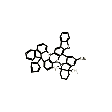 CC(C)(C)c1cc2c3c(c1)C1(C)CCCCC1(C)N3B1c3cccc4c3N(c3ccccc3C4(c3ccccc3)c3ccccc3)c3cc4c(sc5ccccc54)c-2c31